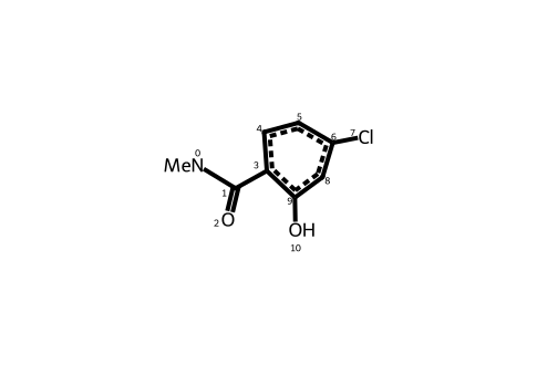 CNC(=O)c1ccc(Cl)cc1O